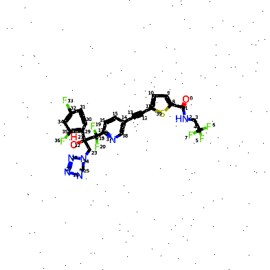 O=C(NCC(F)(F)F)c1ccc(C#Cc2ccc(C(F)(F)C(O)(Cn3cnnn3)c3ccc(F)cc3F)nc2)s1